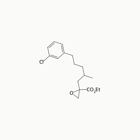 CCOC(=O)C1(CC(C)CCCc2cccc(Cl)c2)CO1